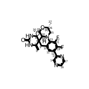 C=C1NC(=O)NC(=O)C12Cc1cc(-c3cnccn3)c(F)c(F)c1N1C[C@@H](C)O[C@@H](C)[C@@H]12